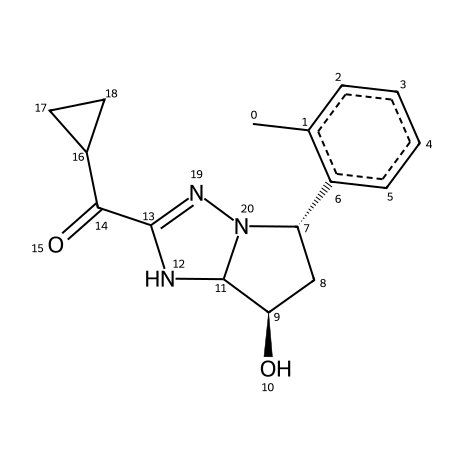 Cc1ccccc1[C@@H]1C[C@@H](O)C2NC(C(=O)C3CC3)=NN21